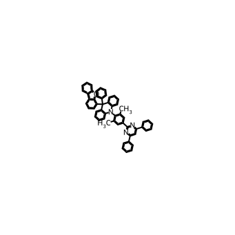 Cc1cc(-c2nc(-c3ccccc3)cc(-c3ccccc3)n2)cc(C)c1N1c2ccccc2C(c2ccccc2)(c2cccc3c2oc2ccccc23)c2ccccc21